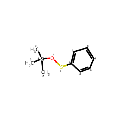 C[Si](C)(C)OSc1ccccc1